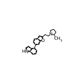 C[C@@H]1CCCN1CCc1cc2ccc(-c3cccc4[nH]ccc34)cc2o1